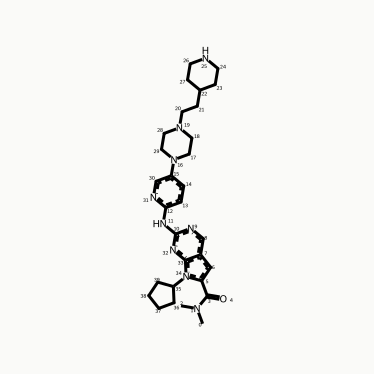 CN(C)C(=O)c1cc2cnc(Nc3ccc(N4CCN(CCC5CCNCC5)CC4)cn3)nc2n1C1CCCC1